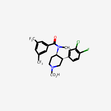 CN(C(=O)c1cc(C(F)(F)F)cc(C(F)(F)F)c1)[C@@H]1CCN(C(=O)O)C[C@H]1c1ccc(F)c(Cl)c1